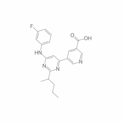 CCCC(C)c1nc(Nc2cccc(F)c2)cc(-c2cncc(C(=O)O)c2)n1